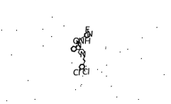 O=C(NCc1ccnc(F)c1)N1CC2(CCN(C/C=C/c3ccc(Cl)c(Cl)c3)CC2)c2ccccc21